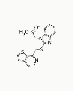 C[S+]([O-])Cn1c(SCc2nccc3ccsc23)nc2ccccc21